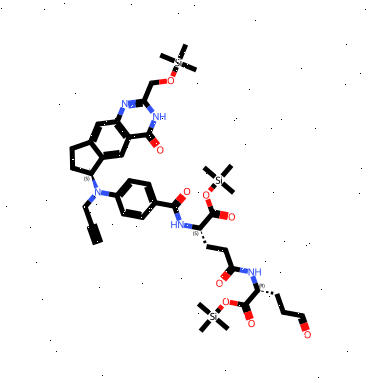 C#CCN(c1ccc(C(=O)N[C@@H](CCC(=O)N[C@H](CCC=O)C(=O)O[Si](C)(C)C)C(=O)O[Si](C)(C)C)cc1)[C@H]1CCc2cc3nc(CO[Si](C)(C)C)[nH]c(=O)c3cc21